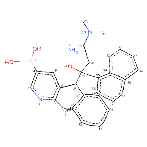 COc1ncc(B(O)O)cc1C(c1ccccc1)C(CCN(C)C)(ON)c1cccc2ccccc12